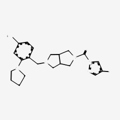 CC(C)c1ccc(CN2CC3CN(C(=O)n4cc(Cl)cn4)CC3C2)c(N2CCCC2)c1